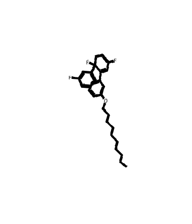 CCCCCCCCCCOc1cccc(C2=CC(F)=CCC2(F)c2cccc(F)c2)c1